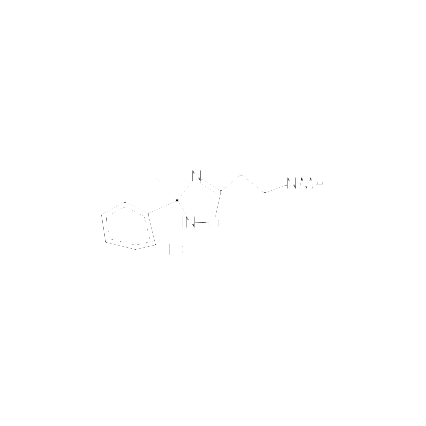 CNCCC1=NC(C)(c2ccccc2)NO1.Cl